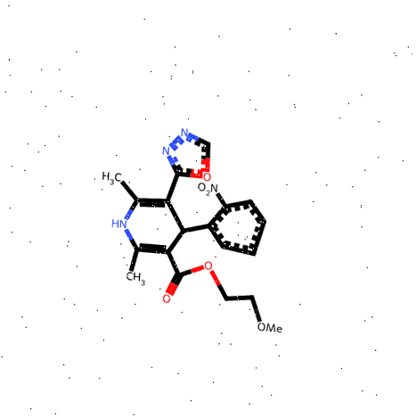 COCCOC(=O)C1=C(C)NC(C)=C(c2nnco2)C1c1ccccc1[N+](=O)[O-]